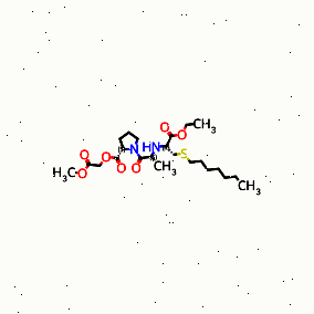 CCCCCCCSC[C@H](N[C@@H](C)C(=O)N1CCC[C@H]1C(=O)OCC(=O)OC)C(=O)OCC